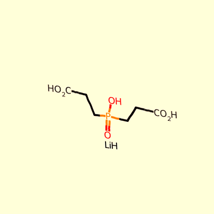 O=C(O)CCP(=O)(O)CCC(=O)O.[LiH]